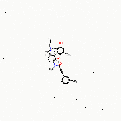 C=CCN1CC[C@]23c4c5c(O)cc(OC(C)=O)c4O[C@H]2[C@@H](N(C)C(=O)C#Cc2cccc(C)c2)CC[C@H]3[C@H]1C5